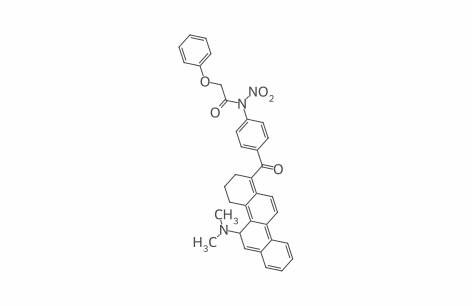 CN(C)C1C=c2ccccc2=c2ccc3c(c21)CCCC=3C(=O)c1ccc(N(C(=O)COc2ccccc2)[N+](=O)[O-])cc1